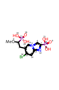 COC(Cc1cn2cc(P(=O)(O)O)nc2cc1Br)P(=O)(O)O